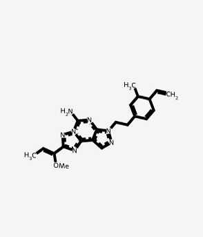 C=CC1C=CC(CCn2ncc3c2nc(N)n2nc(/C(=C/C)OC)nc32)=CC1C